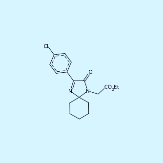 CCOC(=O)CN1C(=O)C(c2ccc(Cl)cc2)=NC12CCCCC2